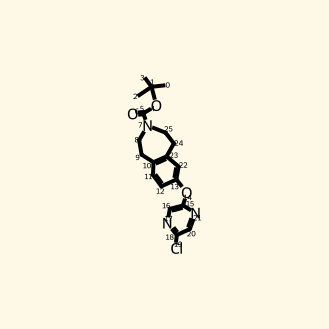 CC(C)(C)OC(=O)N1CCc2ccc(Oc3cnc(Cl)cn3)cc2CC1